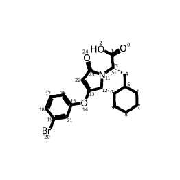 O=C(O)[C@H](CC1CCCCC1)N1CC(Oc2cccc(Br)c2)=CC1=O